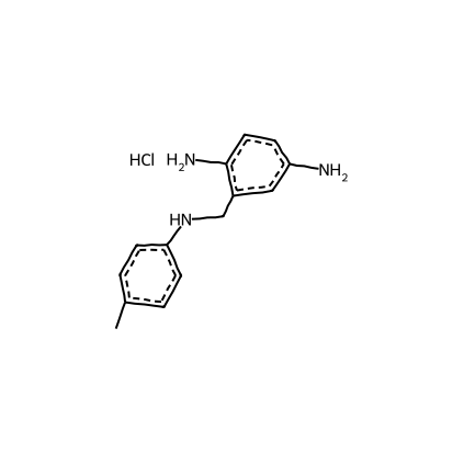 Cc1ccc(NCc2cc(N)ccc2N)cc1.Cl